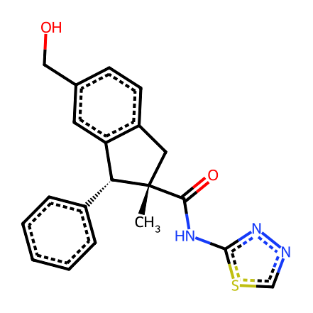 C[C@]1(C(=O)Nc2nncs2)Cc2ccc(CO)cc2[C@H]1c1ccccc1